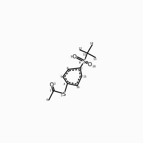 CC(=O)Sc1ccc(S(=O)(=O)C(C)(C)C)cc1